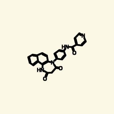 O=C1CC(=O)N(c2ccc(NC(=O)c3ccncc3)cc2)c2ccc3ccccc3c2N1